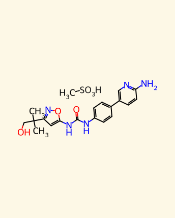 CC(C)(CO)c1cc(NC(=O)Nc2ccc(-c3ccc(N)nc3)cc2)on1.CS(=O)(=O)O